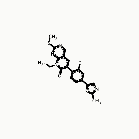 CCn1c(=O)c(-c2ccc(-c3cnc(C)s3)cc2Cl)cc2cnc(SC)nc21